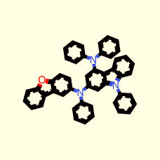 c1ccc(N(c2ccc3oc4ccccc4c3c2)c2cc(N(c3ccccc3)c3ccccc3)c3c4ccccc4n(-c4ccccc4)c3c2)cc1